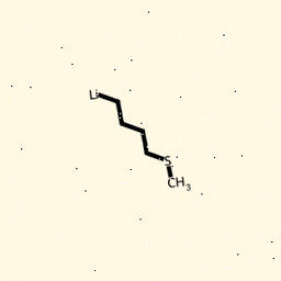 [Li][CH2]CCCSC